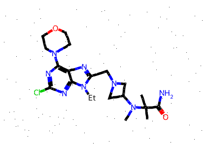 CCn1c(CN2CC(N(C)C(C)(C)C(N)=O)C2)nc2c(N3CCOCC3)nc(Cl)nc21